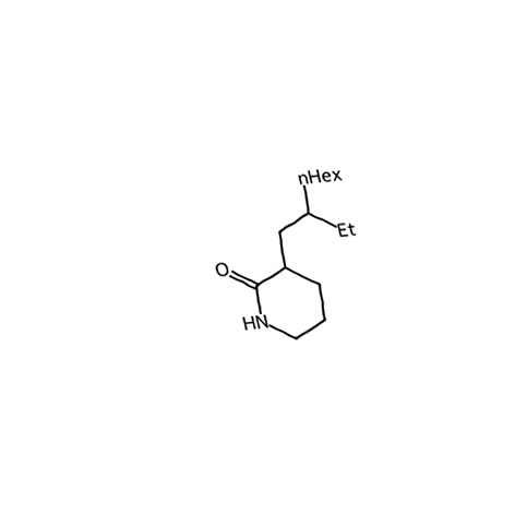 CCCCCCC(CC)CC1CCCNC1=O